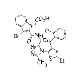 CCc1cc(C(=O)c2ccccc2Cl)c(-n2c(C)nnc2CNC(=O)c2c(Br)c3ccccc3n2CC(=O)O)s1